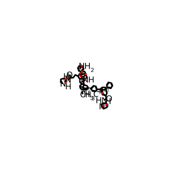 CC[C@]12CC3C[C@](c4ccc(C5C6CC7(C(=O)N[C@@H]8CN9CCC8CC9)C[C@@](c8ccccc8)(C6)C[C@]5(CC)C7)cc4)(CC(C(=O)N[C@H]4CC[C@@H](CN)CC4)(C1)C3C[C@]13CCC[C@](c4ccccc4)(CC(CCC(=O)N[C@@H]4CN5CCC4CC5)C1)C3)C2